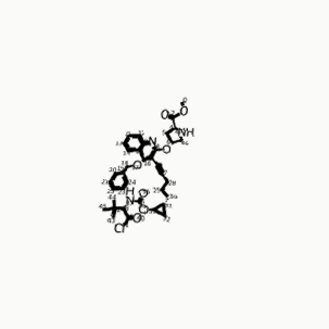 COC(=O)[C@@H]1C[C@@H](Oc2nc3ccccc3c(OCc3ccccc3)c2C#CCCC[C@@H]2C[C@H]2OC(=O)N[C@H](C(=O)Cl)C(C)(C)C)CN1